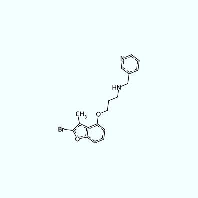 Cc1c(Br)oc2cccc(OCCCNCc3cccnc3)c12